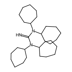 N=C(N(C1CCCCCC1)C1CCCCCC1)N(C1CCCCCC1)C1CCCCCC1